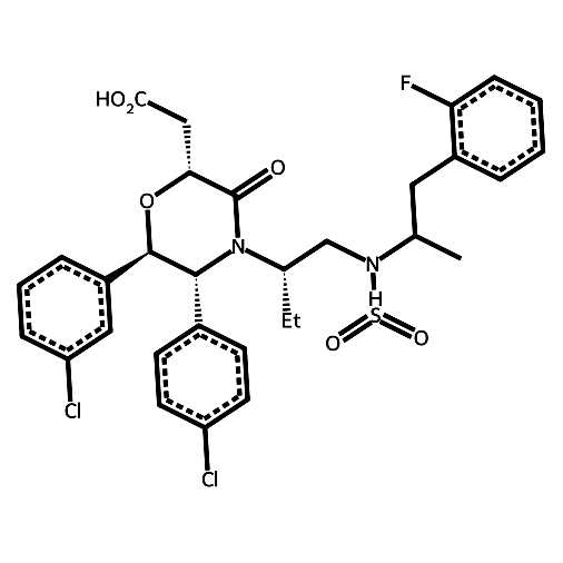 CC[C@@H](CN(C(C)Cc1ccccc1F)[SH](=O)=O)N1C(=O)[C@@H](CC(=O)O)O[C@H](c2cccc(Cl)c2)[C@H]1c1ccc(Cl)cc1